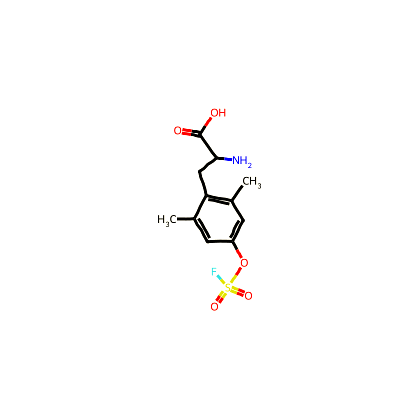 Cc1cc(OS(=O)(=O)F)cc(C)c1CC(N)C(=O)O